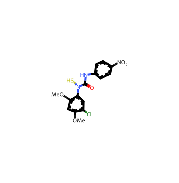 COc1cc(OC)c(N(S)C(=O)Nc2ccc([N+](=O)[O-])cc2)cc1Cl